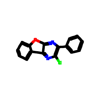 Clc1nc2c(nc1-c1ccccc1)oc1ccccc12